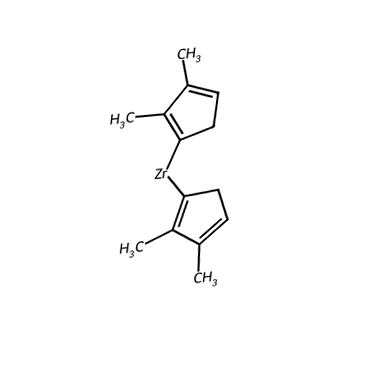 CC1=CC[C]([Zr][C]2=C(C)C(C)=CC2)=C1C